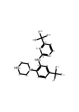 FC(F)(F)c1ccc(N2CCNCC2)c(Nc2nccc(C(F)(F)F)n2)c1